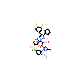 Cc1nc([C@@H]2OC3C(O)CO[C@@H]3C(n3cc(-c4cc(F)c(F)c(F)c4)c(-c4ccccc4F)n3)C2O)n(-c2cc(Cl)ccc2C(F)(F)F)n1